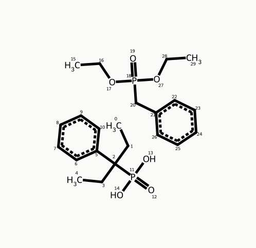 CCC(CC)(c1ccccc1)P(=O)(O)O.CCOP(=O)(Cc1ccccc1)OCC